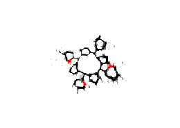 COc1cc(OC)c2cc1C(c1ccc(C)cc1)c1cc(c(OC)cc1OC)C(c1ccc(C)cc1)c1cc(c(OC)cc1OC)C(c1ccc(C)cc1)c1cc(c(OC)cc1OC)C2c1ccc(C)cc1